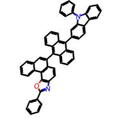 c1ccc(-c2nc3ccc4c(-c5c6ccccc6c(-c6ccc7c8ccccc8n(-c8ccccc8)c7c6)c6ccccc56)cc5ccccc5c4c3o2)cc1